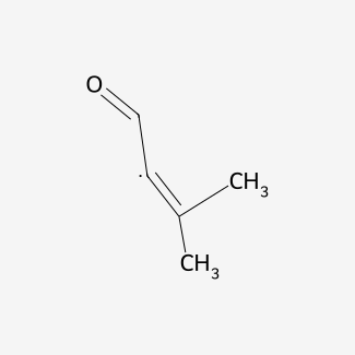 CC(C)=[C]C=O